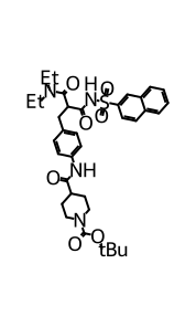 CCN(CC)C(=O)C(Cc1ccc(NC(=O)C2CCN(C(=O)OC(C)(C)C)CC2)cc1)C(=O)NS(=O)(=O)c1ccc2ccccc2c1